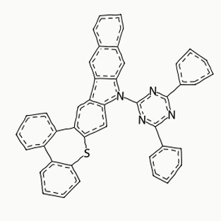 c1ccc(-c2nc(-c3ccccc3)nc(-n3c4cc5c(cc4c4cc6ccccc6cc43)-c3ccccc3-c3ccccc3S5)n2)cc1